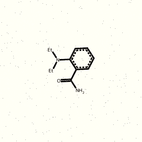 CCN(CC)c1ccccc1C(N)=O